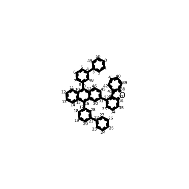 c1ccc(-c2cccc(-c3c4ccccc4c(-c4cccc(-c5ccccc5)c4)c4cc(-c5cccc6oc7ccccc7c56)ccc34)c2)cc1